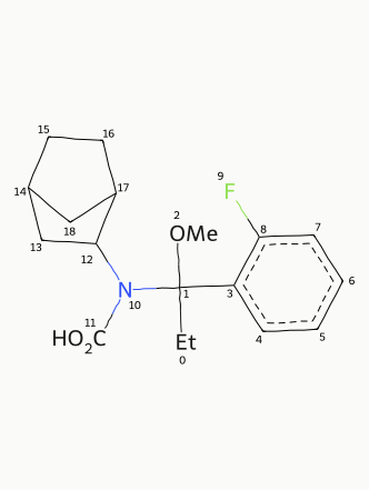 CCC(OC)(c1ccccc1F)N(C(=O)O)C1CC2CCC1C2